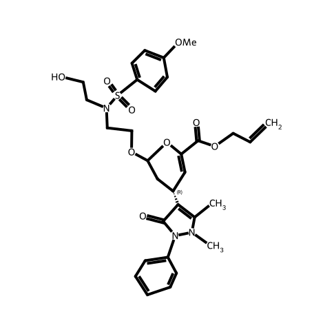 C=CCOC(=O)C1=C[C@H](c2c(C)n(C)n(-c3ccccc3)c2=O)CC(OCCN(CCO)S(=O)(=O)c2ccc(OC)cc2)O1